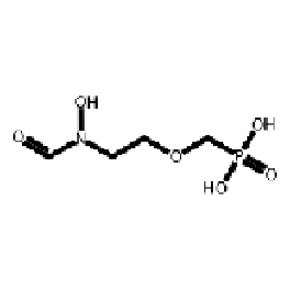 O=CN(O)CCOCP(=O)(O)O